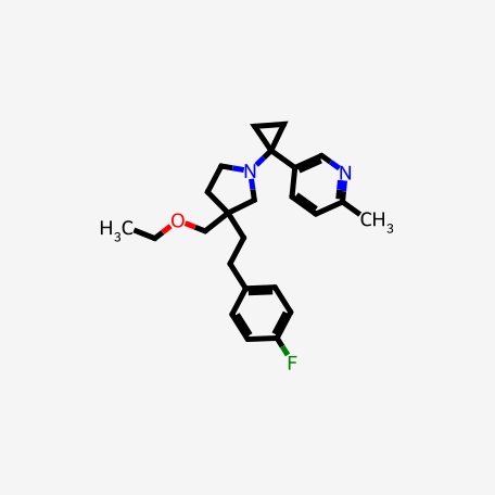 CCOCC1(CCc2ccc(F)cc2)CCN(C2(c3ccc(C)nc3)CC2)C1